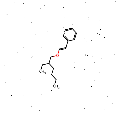 CCCCC(CC)CO[C]=Cc1cc[c]cc1